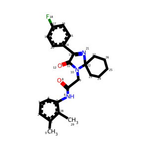 Cc1cccc(NC(=O)CN2C(=O)C(c3ccc(F)cc3)=NC23CCCCC3)c1C